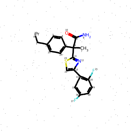 CC(C)Cc1ccc(C(C)(C(N)=O)c2nc(-c3cc(F)ccc3F)cs2)cc1